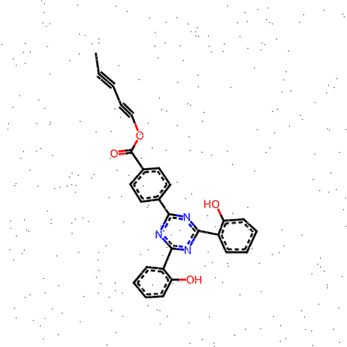 CC#CC#COC(=O)c1ccc(-c2nc(-c3ccccc3O)nc(-c3ccccc3O)n2)cc1